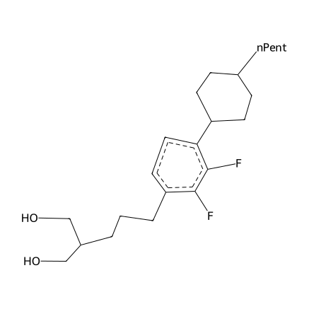 CCCCCC1CCC(c2ccc(CCCC(CO)CO)c(F)c2F)CC1